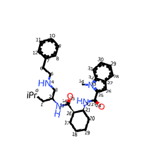 CC(C)CC(CNCCc1ccccc1)NC(=O)[C@@H]1CCCC[C@@H]1NC(=O)c1cc2ccccc2n1C